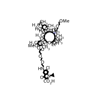 CC[C@H]1OC(=O)[C@H](C)[C@@H](O[C@H]2C[C@@](C)(OC)[C@@H](OC(=O)CCOCCOCCNc3cc4c(=O)c(C(=O)O)cn(C5CC5)c4cc3Cl)[C@H](C)O2)[C@H](C)[C@@H](O[C@@H]2O[C@H](C)C[C@H](N(C)C)[C@H]2O)[C@](C)(O)C[C@@H](C)/C(=N\OCOCCOC)[C@H](C)[C@@H](O)[C@]1(C)O